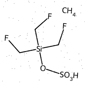 C.O=S(=O)(O)O[Si](CF)(CF)CF